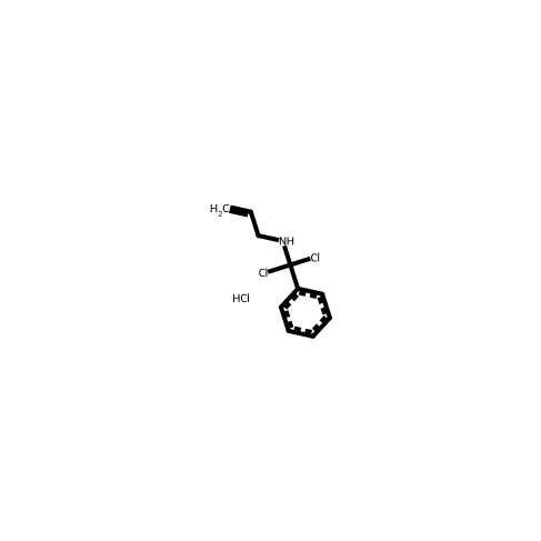 C=CCNC(Cl)(Cl)c1ccccc1.Cl